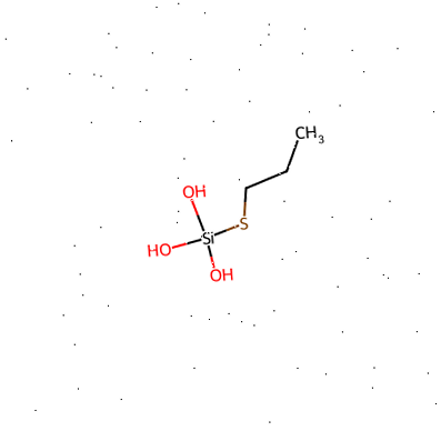 CCCS[Si](O)(O)O